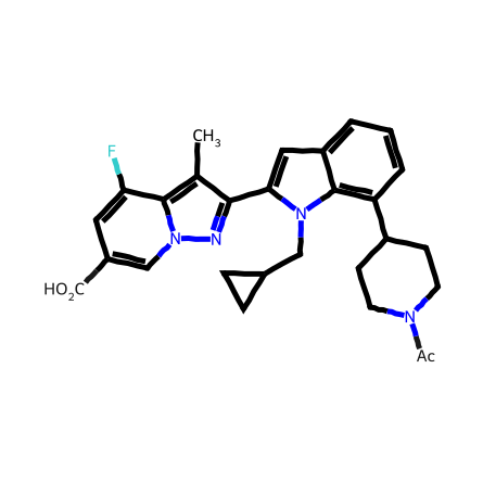 CC(=O)N1CCC(c2cccc3cc(-c4nn5cc(C(=O)O)cc(F)c5c4C)n(CC4CC4)c23)CC1